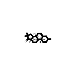 CC1CC[C@@]2(C)C(=CC[C@@H]3[C@H]2CC[C@]2(C)C(=O)C(C)(C)C[C@@H]32)C1